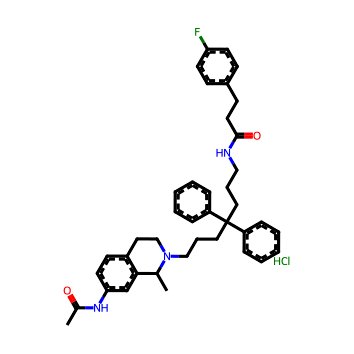 CC(=O)Nc1ccc2c(c1)C(C)N(CCCC(CCCNC(=O)CCc1ccc(F)cc1)(c1ccccc1)c1ccccc1)CC2.Cl